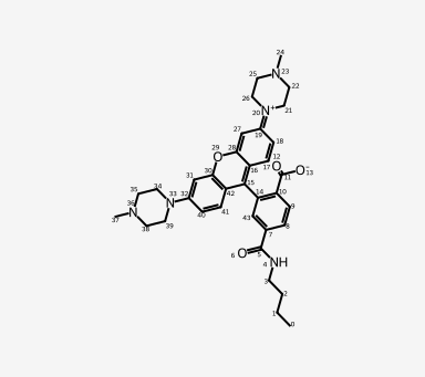 CCCCNC(=O)c1ccc(C(=O)[O-])c(-c2c3ccc(=[N+]4CCN(C)CC4)cc-3oc3cc(N4CCN(C)CC4)ccc23)c1